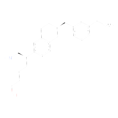 COCc1cccc(C[C@@H]2CCc3cc([C@H](CN)CCCCO)ccc3C2)c1